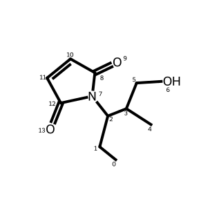 CCC(C(C)CO)N1C(=O)C=CC1=O